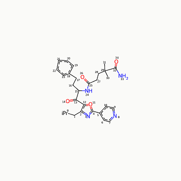 CC(C)Cc1nc(-c2ccncc2)oc1C(=O)C(CCc1ccccc1)NC(=O)[CH]CC(C)(C)C(N)=O